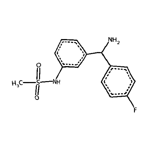 CS(=O)(=O)Nc1cccc(C(N)c2ccc(F)cc2)c1